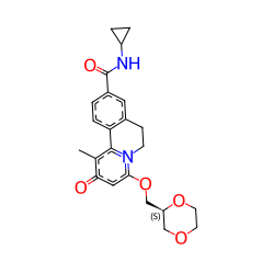 Cc1c2n(c(OC[C@@H]3COCCO3)cc1=O)CCc1cc(C(=O)NC3CC3)ccc1-2